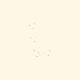 O=S(=O)(c1ccc(Oc2ccccc2)cc1)N(Cc1ccccc1)c1cccn(O)c1=S